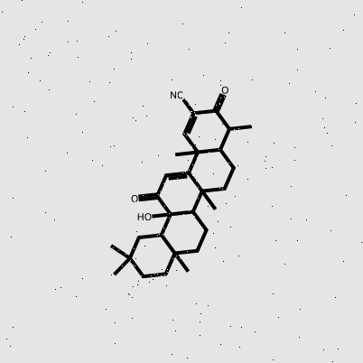 CC1C(=O)C(C#N)=CC2(C)C3=CC(=O)C4(O)C5CC(C)(C)CCC5(C)CCC4C3(C)CCC12